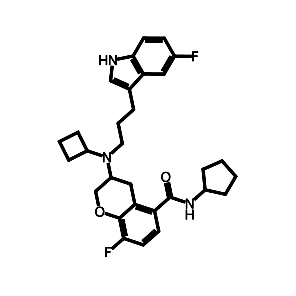 O=C(NC1CCCC1)c1ccc(F)c2c1CC(N(CCCc1c[nH]c3ccc(F)cc13)C1CCC1)CO2